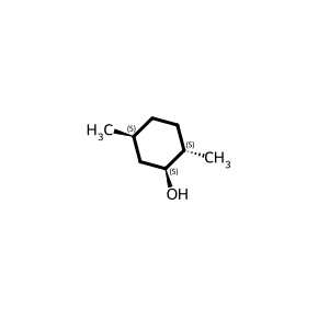 C[C@H]1CC[C@H](C)[C@@H](O)C1